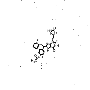 CC(=O)Nc1ccc(C(Cc2ccccc2F)c2nc3c([nH]2)c(=O)[nH]c(=O)n3CCc2n[nH]c(=O)o2)cc1